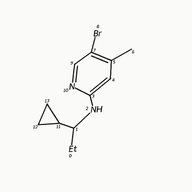 CCC(Nc1cc(C)c(Br)cn1)C1CC1